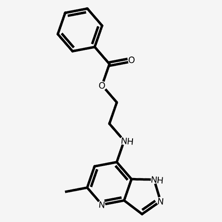 Cc1cc(NCCOC(=O)c2ccccc2)c2[nH]ncc2n1